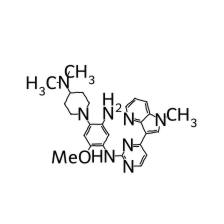 COc1cc(N2CCC(N(C)C)CC2)c(N)cc1Nc1nccc(-c2cn(C)c3cccnc23)n1